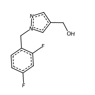 OCc1cnn(Cc2ccc(F)cc2F)c1